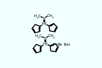 Br.Br.C[Si](C)=[Hf]([C]1=CC=CC1)[C]1=CC=CC1.C[Si](C)=[Hf]([C]1=CC=CC1)[C]1=CC=CC1